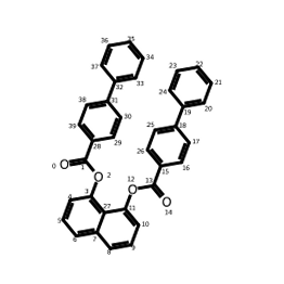 O=C(Oc1cccc2cccc(OC(=O)c3ccc(-c4ccccc4)cc3)c12)c1ccc(-c2ccccc2)cc1